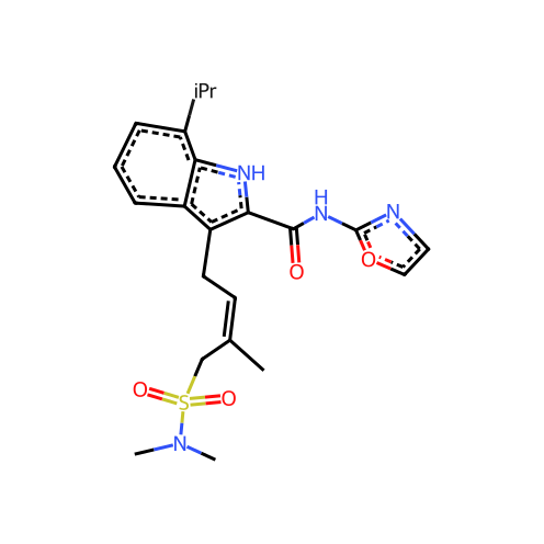 CC(=CCc1c(C(=O)Nc2ncco2)[nH]c2c(C(C)C)cccc12)CS(=O)(=O)N(C)C